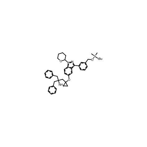 CC(C)(C)[Si](C)(C)OCc1cccc(-c2nn(C3CCCCO3)c3ccc(OC4(CC(N)(Cc5ccccc5)Cc5ccccc5)CC4)cc23)c1